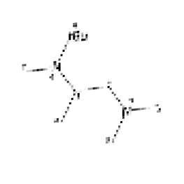 CC(CN(C)C)N(C)C(C)(C)C